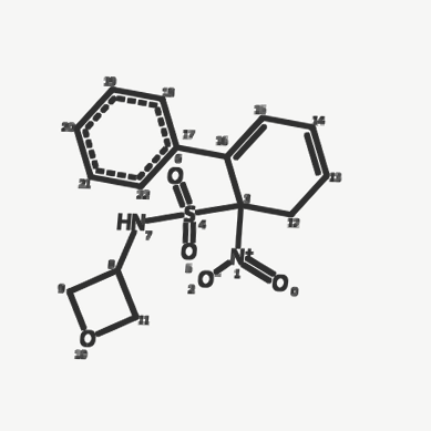 O=[N+]([O-])C1(S(=O)(=O)NC2COC2)CC=CC=C1c1ccccc1